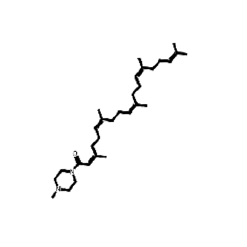 CC(C)=CCCC(C)=CCCC(C)=CCCC(C)=CCCC(C)=CC(=O)N1CCN(C)CC1